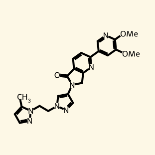 COc1cc(-c2ccc3c(n2)CN(c2cnn(CCn4nccc4C)c2)C3=O)cnc1OC